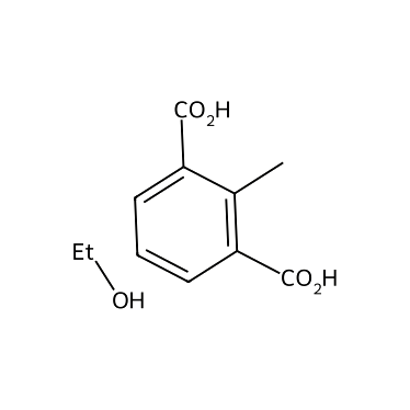 CCO.Cc1c(C(=O)O)cccc1C(=O)O